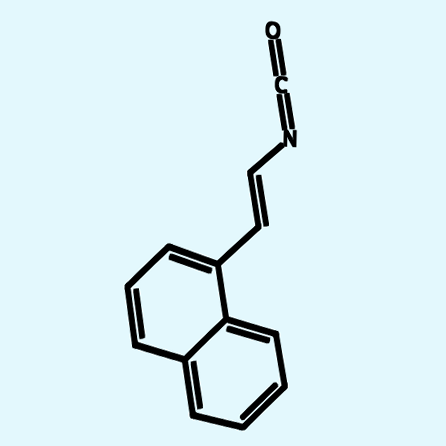 O=C=N/C=C/c1cccc2ccccc12